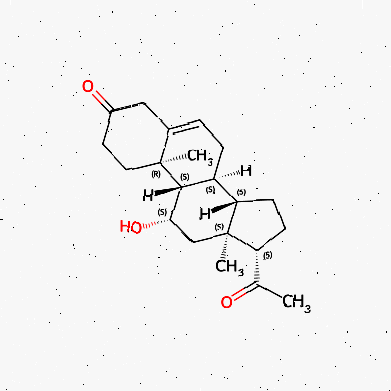 CC(=O)[C@H]1CC[C@H]2[C@@H]3CC=C4CC(=O)CC[C@]4(C)[C@H]3[C@@H](O)C[C@]12C